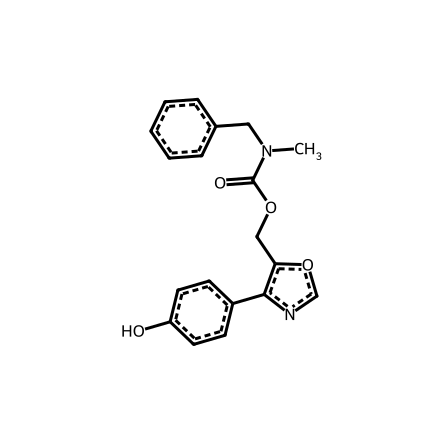 CN(Cc1ccccc1)C(=O)OCc1ocnc1-c1ccc(O)cc1